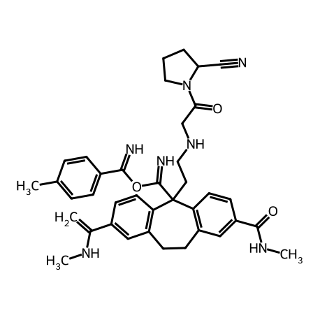 C=C(NC)c1ccc2c(c1)CCc1cc(C(=O)NC)ccc1C2(CCNCC(=O)N1CCCC1C#N)C(=N)OC(=N)c1ccc(C)cc1